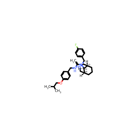 C=C(NCc1ccc(OCC(C)C)cc1)N(Cc1ccc(F)cc1)[C@@H]1[C@@H]2CCC[C@H]1CNC2